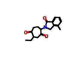 CCC1CC(=O)C(N2Cc3c(C)cccc3C2=O)CCC1=O